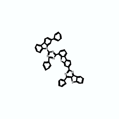 c1ccc(-c2ccc3c4ccccc4n(-c4nc(-c5ccccc5)nc(-c5cccc6c5sc5cc(-c7nc(-c8ccccc8)c8sc9ccccc9c8n7)ccc56)n4)c3c2)cc1